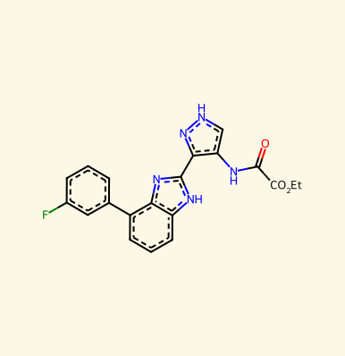 CCOC(=O)C(=O)Nc1c[nH]nc1-c1nc2c(-c3cccc(F)c3)cccc2[nH]1